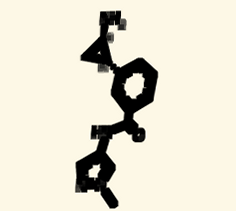 Cn1cc(NC(=O)c2cccc([C@@H]3C[C@H]3N)c2)cn1